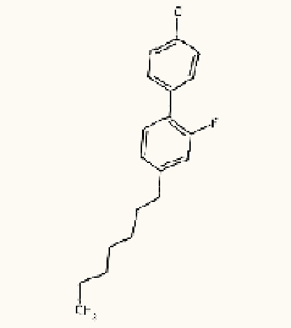 CCCCCCCc1ccc(-c2ccc(Cl)cc2)c(F)c1